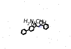 C/C(=C\c1c(C)n(N)c2cc(-c3ccccc3)ccc12)c1ccccc1